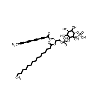 CC#CC#CC#CC#CC(=O)OC[C@H](COP(=O)(O)OC1C(O)[C@@H](O)C(O)[C@H](OP(=O)(O)O)C1O)OC(=O)CCCCCCCCCCCCCCC